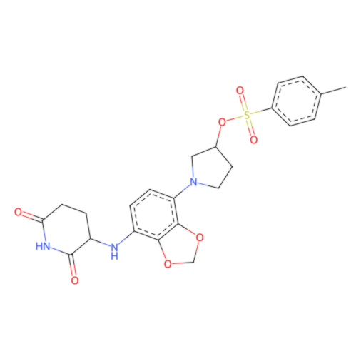 Cc1ccc(S(=O)(=O)OC2CCN(c3ccc(NC4CCC(=O)NC4=O)c4c3OCO4)C2)cc1